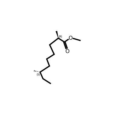 CC[C@H](C)CCCC[C@@H](C)C(=O)OC